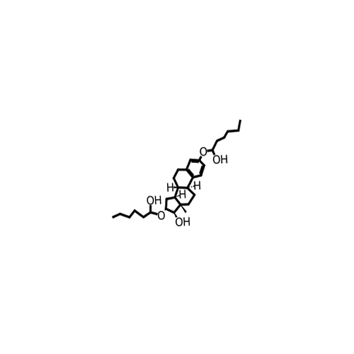 CCCCCC(O)Oc1ccc2c(c1)CC[C@@H]1[C@@H]2CC[C@]2(C)[C@@H](O)[C@H](OC(O)CCCCC)C[C@@H]12